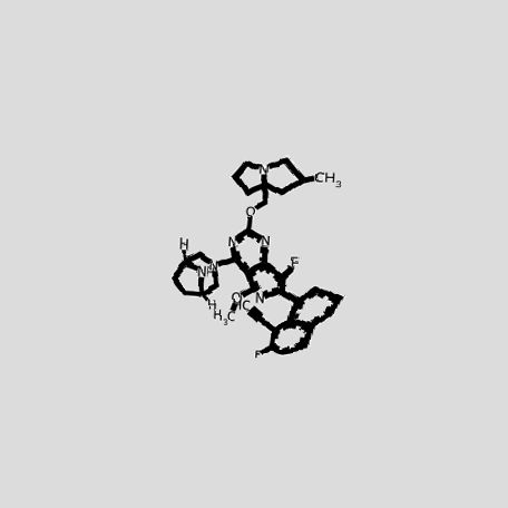 C#Cc1c(F)ccc2cccc(-c3nc(OC)c4c(N5C[C@H]6CC[C@@H](C5)N6)nc(OCC56CCCN5CC(C)C6)nc4c3F)c12